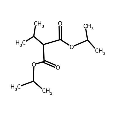 CC(C)OC(=O)C(C(=O)OC(C)C)C(C)C